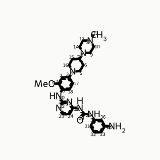 COc1cc(N2CCC(N3CCN(C)CC3)CC2)ccc1Nc1nccc(NC(=O)Nc2cccc(N)c2)n1